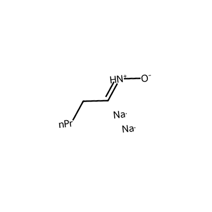 CCCCC=[NH+][O-].[Na].[Na]